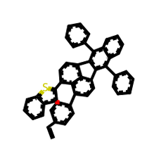 C=Cc1ccc(-c2ccc3c4c(ccc(-c5cc6ccccc6s5)c24)-c2c-3c(-c3ccccc3)c3ccccc3c2-c2ccccc2)cc1